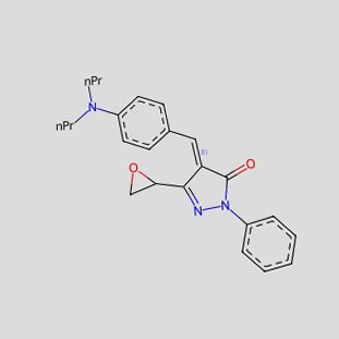 CCCN(CCC)c1ccc(/C=C2/C(=O)N(c3ccccc3)N=C2C2CO2)cc1